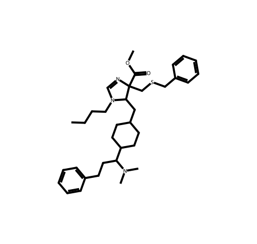 CCCCN1C=NC(CSCc2ccccc2)(C(=O)OC)C1CC1CCC(C(CCc2ccccc2)N(C)C)CC1